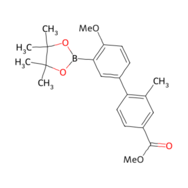 COC(=O)c1ccc(-c2ccc(OC)c(B3OC(C)(C)C(C)(C)O3)c2)c(C)c1